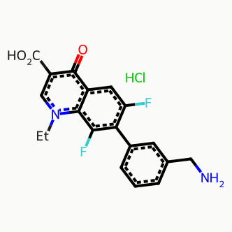 CCn1cc(C(=O)O)c(=O)c2cc(F)c(-c3cccc(CN)c3)c(F)c21.Cl